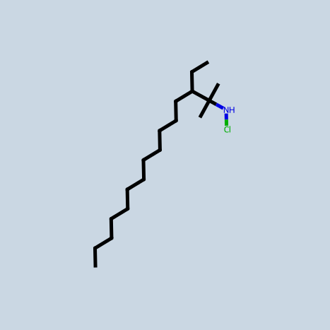 CCCCCCCCCCCCC(CC)C(C)(C)NCl